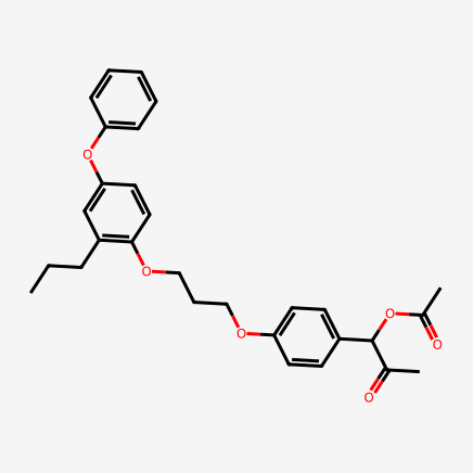 CCCc1cc(Oc2ccccc2)ccc1OCCCOc1ccc(C(OC(C)=O)C(C)=O)cc1